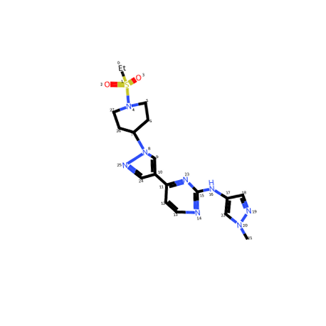 CCS(=O)(=O)N1CCC(n2cc(-c3ccnc(Nc4cnn(C)c4)n3)cn2)CC1